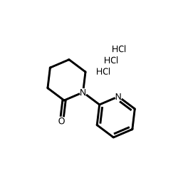 Cl.Cl.Cl.O=C1CCCCN1c1ccccn1